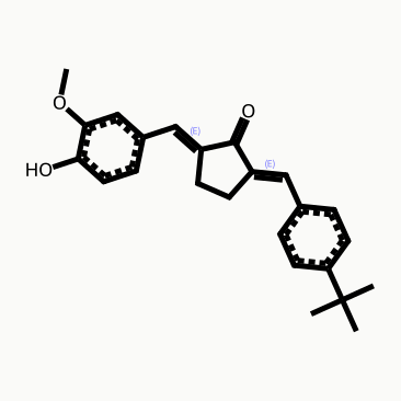 COc1cc(/C=C2\CC/C(=C\c3ccc(C(C)(C)C)cc3)C2=O)ccc1O